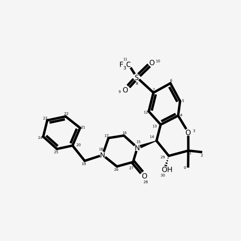 CC1(C)Oc2ccc(S(=O)(=O)C(F)(F)F)cc2[C@H](N2CCN(Cc3ccccc3)CC2=O)[C@H]1O